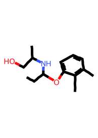 CCC(NC(C)CO)Oc1cccc(C)c1C